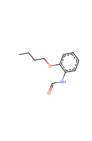 CCCCOc1ccccc1NC=O